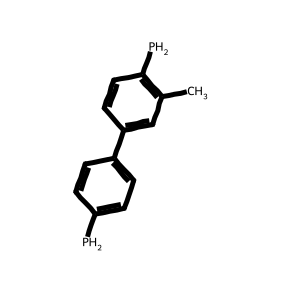 Cc1cc(-c2ccc(P)cc2)ccc1P